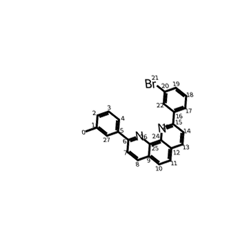 Cc1cccc(-c2ccc3ccc4ccc(-c5cccc(Br)c5)nc4c3n2)c1